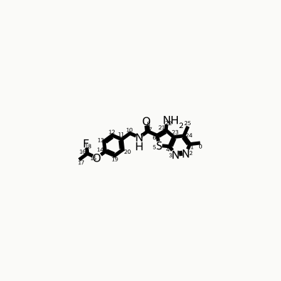 Cc1nnc2sc(C(=O)NCc3ccc(OC(C)F)cc3)c(N)c2c1C